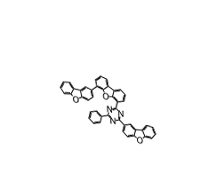 c1ccc(-c2nc(-c3ccc4oc5ccccc5c4c3)nc(-c3cccc4c3oc3c(-c5ccc6oc7ccccc7c6c5)cccc34)n2)cc1